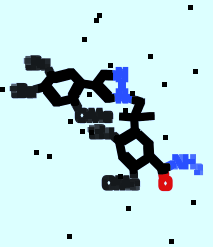 COc1cc(C(C)(C)C)c(C(C)(C)Cn2cc(-c3cc(C(C)(C)C)c(C(C)(C)C)cc3OC)cn2)cc1C(N)=O